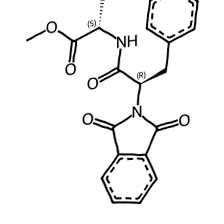 COC(=O)[C@H](C)NC(=O)[C@@H](Cc1ccccc1)N1C(=O)c2ccccc2C1=O